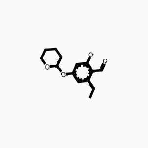 CCc1cc(OC2CCCCO2)cc([O])c1C=O